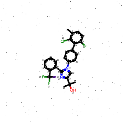 Cc1ccc(F)c(-c2ccc(-n3cc(C(C)(C)O)nc3-c3ccccc3C(F)(F)I)cc2)c1Cl